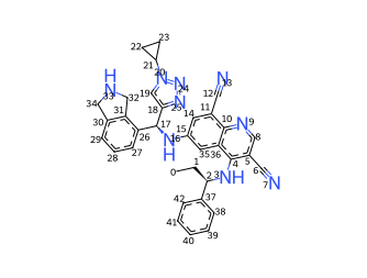 CC[C@@H](Nc1c(C#N)cnc2c(C#N)cc(N[C@H](c3cn(C4CC4)nn3)c3cccc4c3CNC4)cc12)c1ccccc1